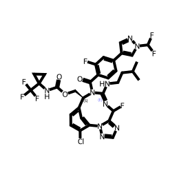 CC(C)CCN/C1=N\C(F)c2ncnn2-c2cc(ccc2Cl)[C@@H](COC(=O)NC2(C(F)(F)F)CC2)N1C(=O)c1ccc(-c2cnn(C(F)F)c2)cc1F